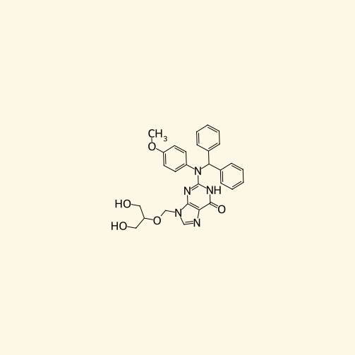 COc1ccc(N(c2nc3c(ncn3COC(CO)CO)c(=O)[nH]2)C(c2ccccc2)c2ccccc2)cc1